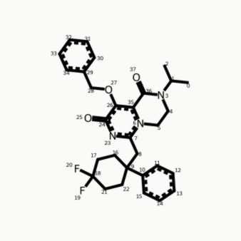 CC(C)N1CCn2c(CC3(c4ccccc4)CCC(F)(F)CC3)nc(=O)c(OCc3ccccc3)c2C1=O